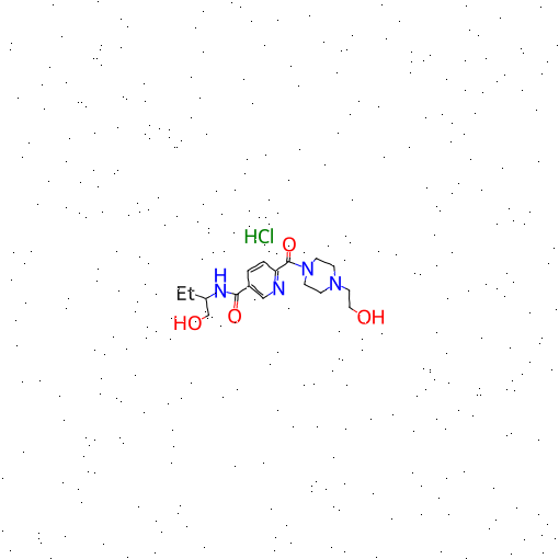 CCC(CO)NC(=O)c1ccc(C(=O)N2CCN(CCO)CC2)nc1.Cl